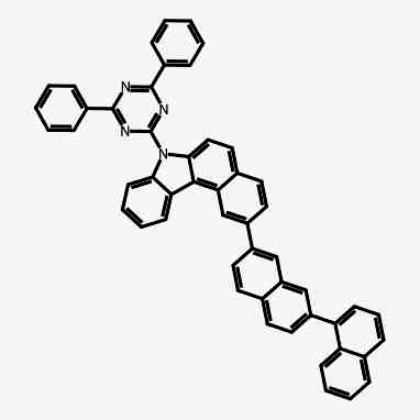 c1ccc(-c2nc(-c3ccccc3)nc(-n3c4ccccc4c4c5cc(-c6ccc7ccc(-c8cccc9ccccc89)cc7c6)ccc5ccc43)n2)cc1